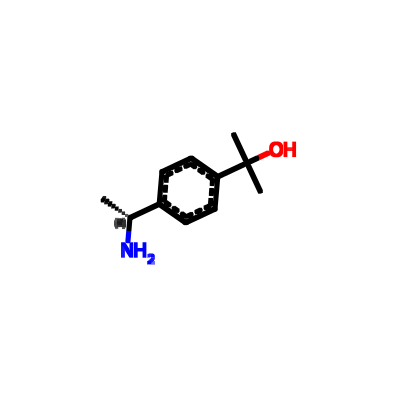 C[C@@H](N)c1ccc(C(C)(C)O)cc1